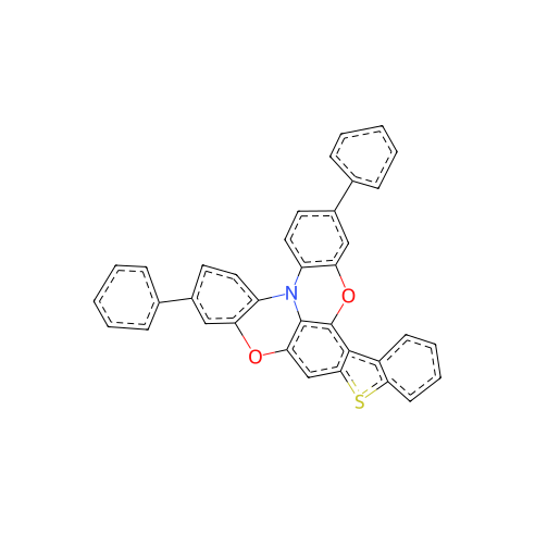 c1ccc(-c2ccc3c(c2)Oc2cc4sc5ccccc5c4c4c2N3c2ccc(-c3ccccc3)cc2O4)cc1